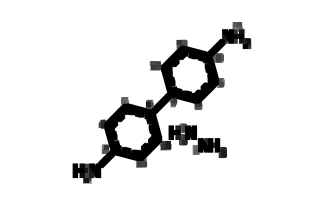 N.N.Nc1ccc(-c2ccc(N)cc2)cc1